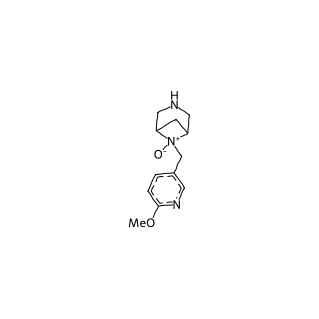 COc1ccc(C[N+]2([O-])C3CNCC2C3)cn1